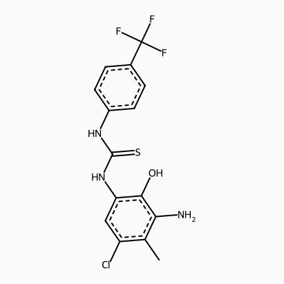 Cc1c(Cl)cc(NC(=S)Nc2ccc(C(F)(F)F)cc2)c(O)c1N